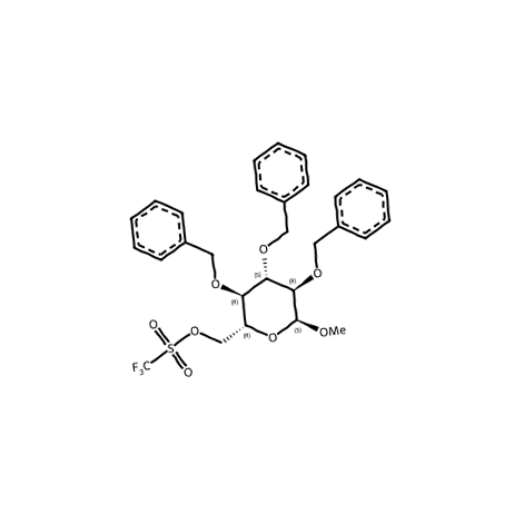 CO[C@H]1O[C@H](COS(=O)(=O)C(F)(F)F)[C@@H](OCc2ccccc2)[C@H](OCc2ccccc2)[C@H]1OCc1ccccc1